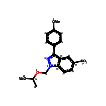 COc1ccc(-c2nn(COC(C)OC)c3ccc([N+](=O)[O-])cc23)cc1